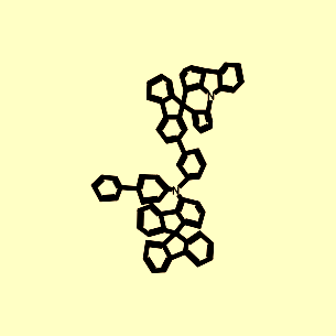 c1ccc(-c2ccc(N(c3cccc(-c4ccc5c(c4)C4(c6ccccc6-5)c5ccccc5-n5c6ccccc6c6cccc4c65)c3)c3cccc4c3-c3ccccc3C43c4ccccc4-c4ccccc43)cc2)cc1